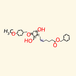 COc1ccc(CO[C@@H]2C[C@H](O)[C@H](C/C=C\CCCC(=O)OCc3ccccc3)[C@H]2CO)cc1